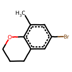 Cc1cc(Br)cc2c1OCCC2